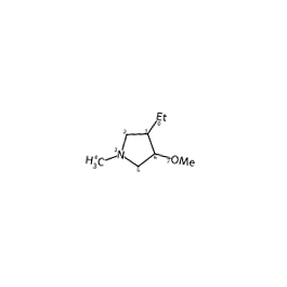 CCC1CN(C)CC1OC